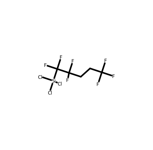 FC(F)(F)CCC(F)(F)C(F)(F)[Si](Cl)(Cl)Cl